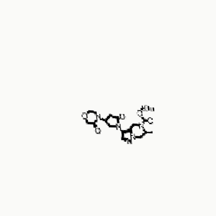 C[C@H]1Cn2ncc(N3CC(N4CCOCC4=O)CC3=O)c2CN1C(=O)OC(C)(C)C